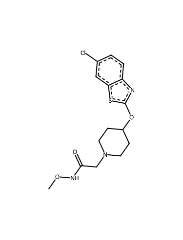 CONC(=O)CN1CCC(Oc2nc3ccc(Cl)cc3s2)CC1